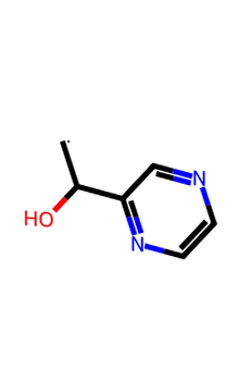 [CH2]C(O)c1cnccn1